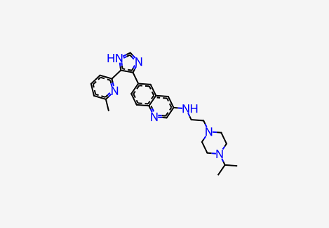 Cc1cccc(-c2[nH]cnc2-c2ccc3ncc(NCCN4CCN(C(C)C)CC4)cc3c2)n1